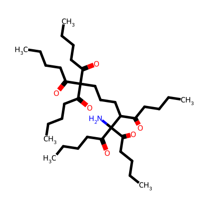 CCCCC(=O)C(CCCC(C(=O)CCCC)(C(=O)CCCC)C(=O)CCCC)C(N)(C(=O)CCCC)C(=O)CCCC